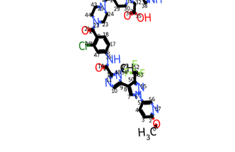 COc1ccc(-n2cc(-c3cnc(C(=O)Nc4ccc(C(=O)N5CCN(C(=O)C6CC[N+](CC(=O)O)(CC7CNC7)CC6)CC5)c(Cl)c4)n3C)c(C(F)(F)F)n2)cn1